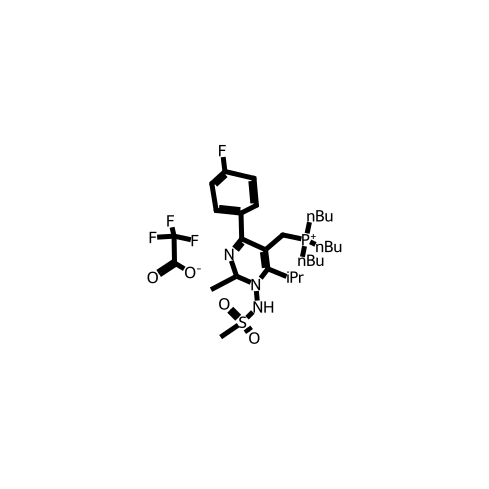 CCCC[P+](CCCC)(CCCC)CC1=C(C(C)C)N(NS(C)(=O)=O)C(C)N=C1c1ccc(F)cc1.O=C([O-])C(F)(F)F